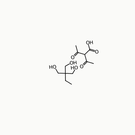 CC(=O)C(C(C)=O)C(=O)O.CCC(CO)(CO)CO